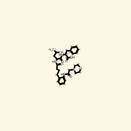 CC(C)CC(NC(=O)CCCc1ccccc1NC(=O)CN1CCOCC1)C(=O)NC(Cc1ccccc1)C(=O)O